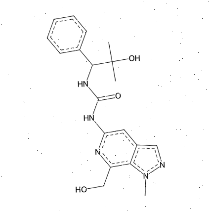 Cn1ncc2cc(NC(=O)NC(c3ccccc3)C(C)(C)O)nc(CO)c21